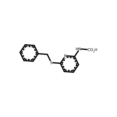 O=C(O)Nc1cccc(SCc2ccccc2)n1